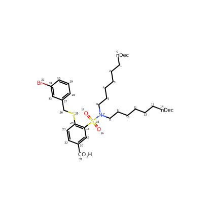 CCCCCCCCCCCCCCCCN(CCCCCCCCCCCCCCCC)S(=O)(=O)c1cc(C(=O)O)ccc1SCc1cccc(Br)c1